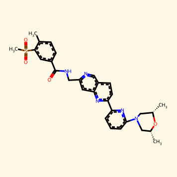 Cc1ccc(C(=O)NCc2cc3nc(-c4cccc(N5C[C@@H](C)O[C@@H](C)C5)n4)ccc3cn2)cc1S(C)(=O)=O